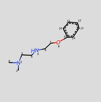 CN(C)CCNCCOc1c[c]ccc1